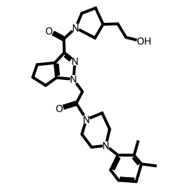 Cc1cccc(N2CCN(C(=O)Cn3nc(C(=O)N4CCC(CCO)C4)c4c3CCC4)CC2)c1C